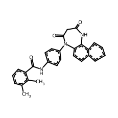 Cc1cccc(C(=O)Nc2ccc(N3C(=O)CC(=O)Nc4c3ccc3ccccc43)cc2)c1C